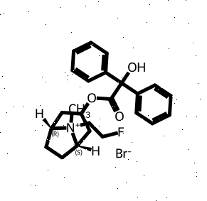 C[N+]1(CCF)[C@@H]2CC[C@H]1CC(OC(=O)C(O)(c1ccccc1)c1ccccc1)C2.[Br-]